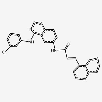 O=C(C=Cc1cccc2ccccc12)Nc1ccc2ncnc(Nc3cccc(Cl)c3)c2c1